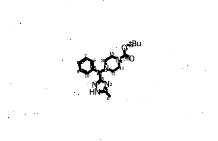 Cc1nc(C(c2ccccc2)N2CCN(C(=O)OC(C)(C)C)CC2)n[nH]1